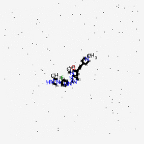 CC1CN(c2ccc(Nc3ncc4cc(C#CC5CCN(C)CC5)c(=O)n(CC(F)(F)F)c4n3)cc2F)CCN1